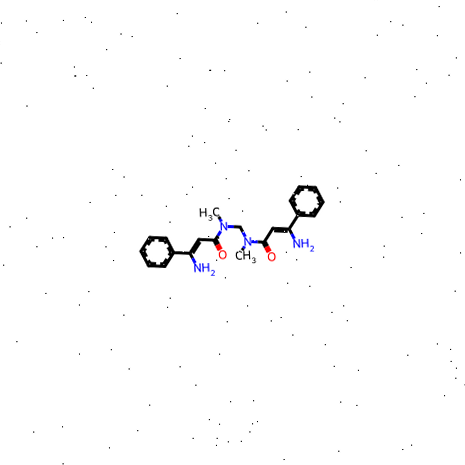 CN(CN(C)C(=O)C=C(N)c1ccccc1)C(=O)C=C(N)c1ccccc1